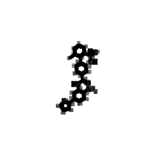 Cc1cccc([PH](=O)O)c1-c1ccc(C(=O)Nc2cc(-c3cccs3)ccc2N)cc1